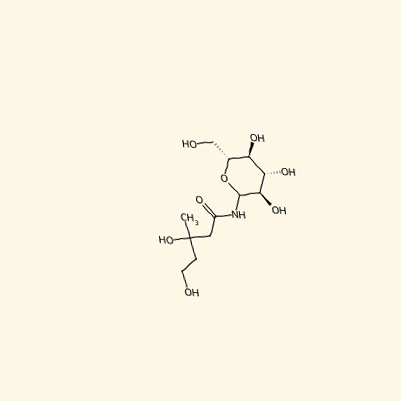 CC(O)(CCO)CC(=O)NC1O[C@H](CO)[C@@H](O)[C@H](O)[C@H]1O